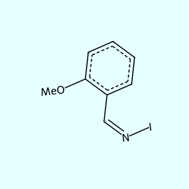 COc1ccccc1/C=N\I